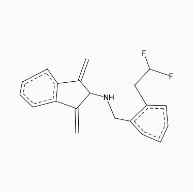 C=C1c2ccccc2C(=C)C1NCc1ccccc1CC(F)F